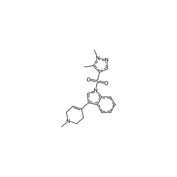 Cc1c(S(=O)(=O)n2cc(C3=CCN(C)CC3)c3ccccc32)cnn1C